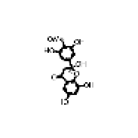 COc1c(O)cc([C@@]2(O)CC(=O)c3cc(O)cc(O)c3O2)cc1O